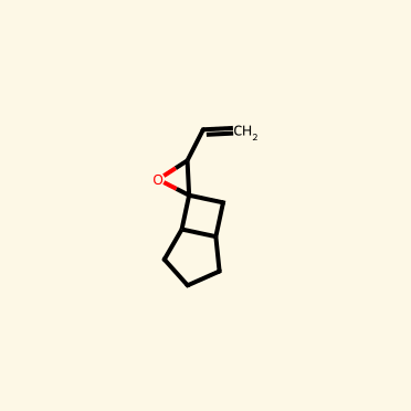 C=CC1OC12CC1CCCC12